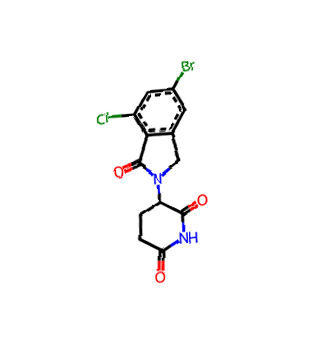 O=C1CCC(N2Cc3cc(Br)cc(Cl)c3C2=O)C(=O)N1